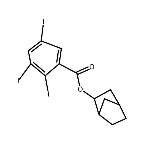 O=C(OC1CC2CCC1C2)c1cc(I)cc(I)c1I